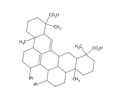 CC(C)C1CCC2C3=C1C1C(C(C)C)CCC4C1C(CC1C(C)(C(=O)O)CCCC41C)C3=CC1C(C)(C(=O)O)CCCC21C